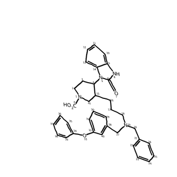 O=C(O)N1CCC(n2c(=O)[nH]c3ccccc32)C(CCCN(Cc2ccccc2)Cc2cccc(Oc3ccccc3)c2)C1